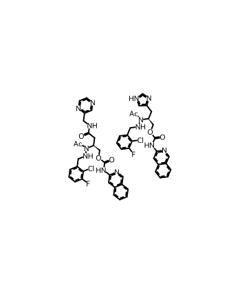 CC(=O)N(NCc1cccc(F)c1Cl)[C@H](COC(=O)Nc1cc2ccccc2cn1)CC(=O)NCc1cnccn1.CC(=O)N(NCc1cccc(F)c1Cl)[C@H](COC(=O)Nc1cc2ccccc2cn1)Cc1c[nH]cn1